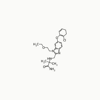 CCOCCn1c(CNC(C)(C)C(N)=O)nc2ccc(OC3=C(Cl)CCC=C3)cc21